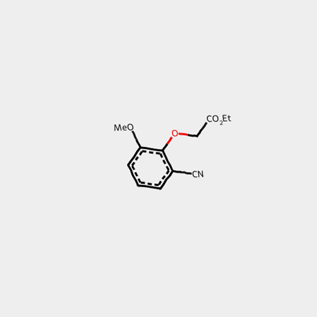 CCOC(=O)COc1c(C#N)cccc1OC